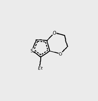 CCc1scc2c1OCCO2